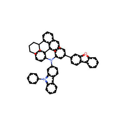 c1ccc(-n2c3ccccc3c3ccc(N(c4cccc(-c5ccc6c(c5)oc5ccccc56)c4)c4ccccc4-c4cccc5cccc(C6CCCCC6)c45)cc32)cc1